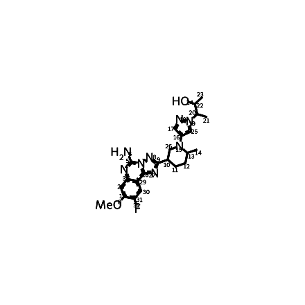 COc1cc2nc(N)n3nc(C4CCC(C)N(c5cnn(C(C)C(C)O)c5)C4)nc3c2cc1F